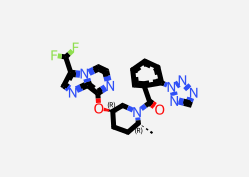 C[C@@H]1CC[C@@H](Oc2nccn3c(C(F)F)cnc23)CN1C(=O)c1ccccc1-n1ncnn1